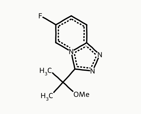 COC(C)(C)c1nnc2ccc(F)cn12